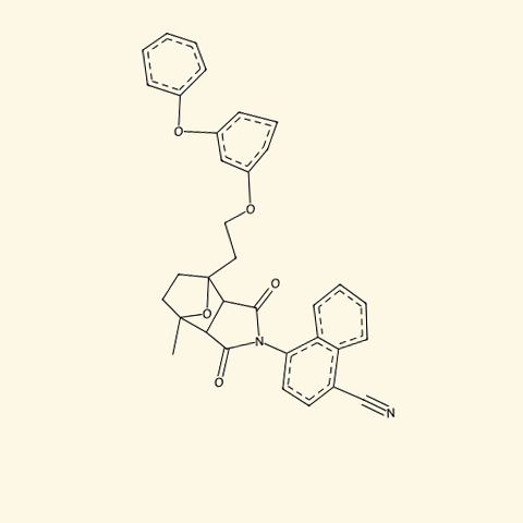 CC12CCC(CCOc3cccc(Oc4ccccc4)c3)(O1)C1C(=O)N(c3ccc(C#N)c4ccccc34)C(=O)C12